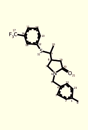 Cc1ccc(CN2CC(C(C)Sc3cccc(C(F)(F)F)c3)CC2=O)cc1